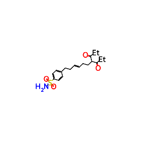 CCC(=O)C(CCC=CCCc1ccc(S(N)(=O)=O)cc1)C(=O)CC